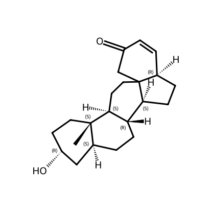 C[C@]12CC[C@@H](O)C[C@@H]1CC[C@H]1[C@@H]3CC[C@@H]4C=CC(=O)CC43CC[C@@H]12